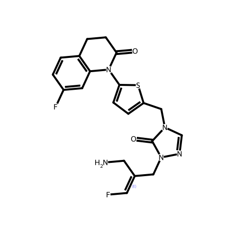 NC/C(=C\F)Cn1ncn(Cc2ccc(N3C(=O)CCc4ccc(F)cc43)s2)c1=O